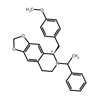 COc1ccc(C[C@@H]2c3cc4c(cc3CCN2C(C)c2ccccc2)OCO4)cc1